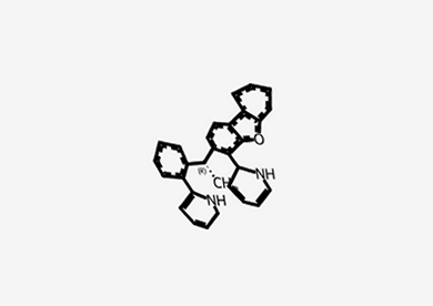 C[C@H](c1ccccc1C1=CC=CCN1)c1ccc2c(oc3ccccc32)c1C1C=CC=CN1